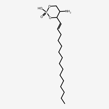 CCCCCCCCCCCCCC=CC1OP(=O)(O)OCC1N